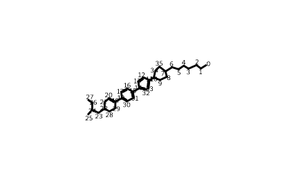 CCCCCCCC1CCC(c2ccc(-c3ccc(C4=CCC(CC(C)CC)CC4)cc3)cc2)CC1